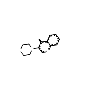 O=c1c(N2CCNCC2)coc2ccccc12